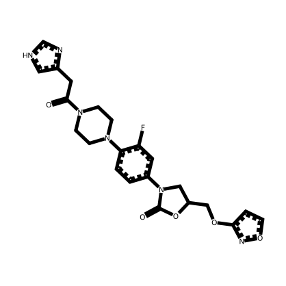 O=C(Cc1c[nH]cn1)N1CCN(c2ccc(N3CC(COc4ccon4)OC3=O)cc2F)CC1